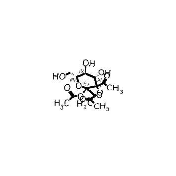 CC(=O)O[C@@]1(C(C)=O)O[C@H](CO)[C@@H](O)[C@H](O)[C@@]1(OC(C)=O)C(C)=O